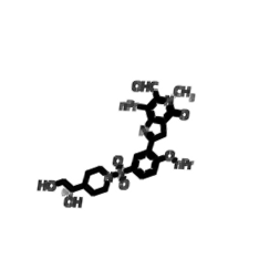 CCCOc1ccc(S(=O)(=O)N2CCC([C@H](O)CO)CC2)cc1C1=Nc2c(CCC)c(C=O)n(C)c(=O)c2C1